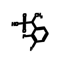 CC(c1cccc(F)c1F)S(=O)(=O)O